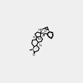 CN1C(=O)CC[C@@]2(C)C1CC[C@@H]1[C@H]2CC[C@@]2(C)[C@H]1CCC2(NC1CC1)S(=O)(=O)c1ccccc1